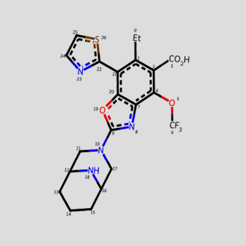 CCc1c(C(=O)O)c(OC(F)(F)F)c2nc(N3CC4CCCC(C3)N4)oc2c1-c1nccs1